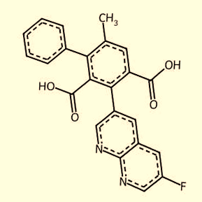 Cc1cc(C(=O)O)c(-c2cnc3ncc(F)cc3c2)c(C(=O)O)c1-c1ccccc1